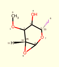 COC1C(O)[C@H](I)OC2O[C@@H]21